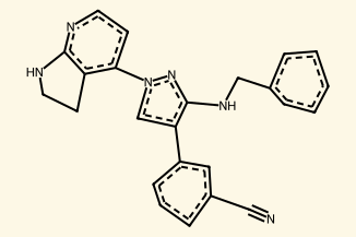 N#Cc1cccc(-c2cn(-c3ccnc4c3CCN4)nc2NCc2ccccc2)c1